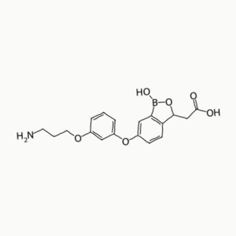 NCCCOc1cccc(Oc2ccc3c(c2)B(O)OC3CC(=O)O)c1